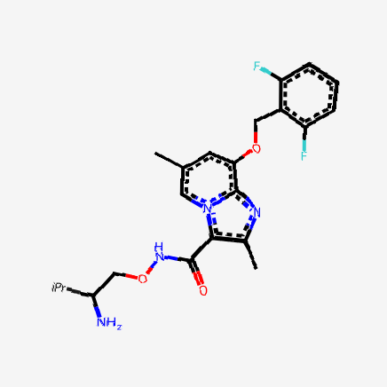 Cc1cc(OCc2c(F)cccc2F)c2nc(C)c(C(=O)NOCC(N)C(C)C)n2c1